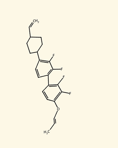 C=CC1CCC(c2ccc(-c3ccc(O/C=C/C)c(F)c3F)c(F)c2F)CC1